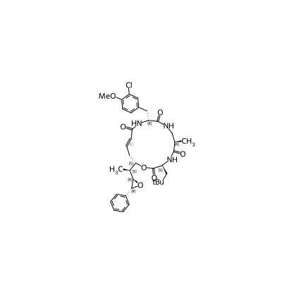 COc1ccc(C[C@H]2NC(=O)/C=C/C[C@@H]([C@H](C)[C@H]3O[C@@H]3c3ccccc3)OC(=O)[C@H](CC(C)(C)C)NC(=O)[C@H](C)CNC2=O)cc1Cl